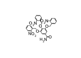 NC(=O)c1cc(OCc2ccccc2[N+](=O)[O-])c(OCc2ccccc2[N+](=O)[O-])c(OCc2ccccc2[N+](=O)[O-])c1